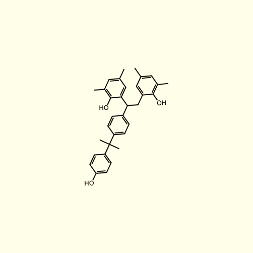 Cc1cc(C)c(O)c(CC(c2ccc(C(C)(C)c3ccc(O)cc3)cc2)c2cc(C)cc(C)c2O)c1